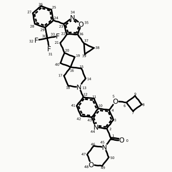 O=C(c1cc(OC2CCC2)c2cc(N3CCC4(CC3)CC(Cc3c(-c5ccccc5C(F)(F)F)noc3C3CC3)C4)ccc2n1)N1CCOCC1